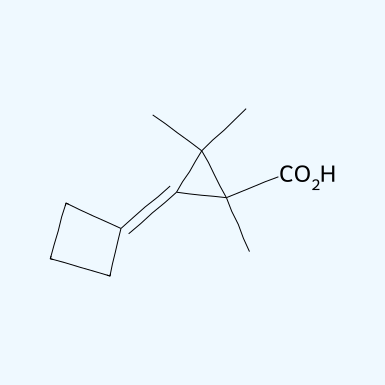 CC1(C)C(=C2CCC2)C1(C)C(=O)O